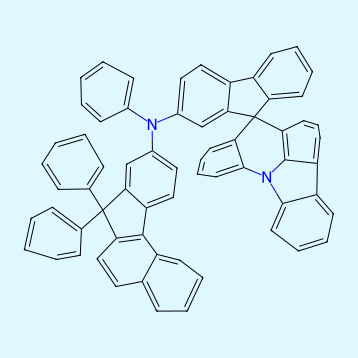 c1ccc(N(c2ccc3c(c2)C(c2ccccc2)(c2ccccc2)c2ccc4ccccc4c2-3)c2ccc3c(c2)C2(c4ccccc4-3)c3ccccc3-n3c4ccccc4c4cccc2c43)cc1